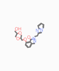 O=c1c2c(OCC3COC(CO)CO3)cccc2cnn1CCc1cn2ccccc2n1